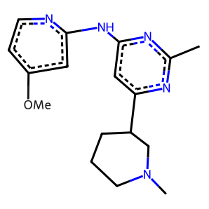 COc1ccnc(Nc2cc(C3CCCN(C)C3)nc(C)n2)c1